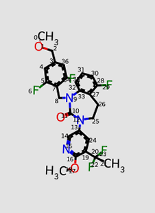 COCc1cc(F)c(CN2C(=O)N(c3cnc(OC)c(C(C)(F)F)c3)CCc3c(F)cccc32)c(F)c1